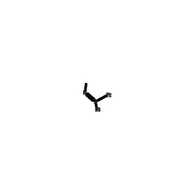 CCS(CC)=NC